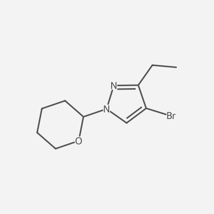 CCc1nn(C2CCCCO2)cc1Br